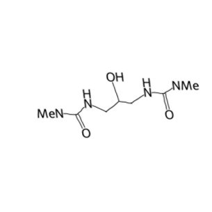 CNC(=O)NCC(O)CNC(=O)NC